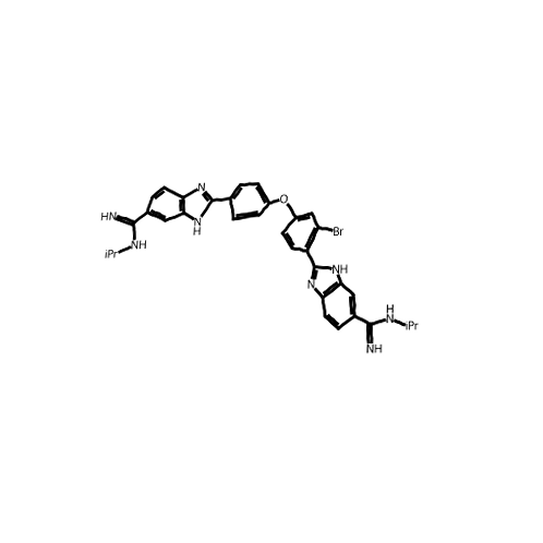 CC(C)NC(=N)c1ccc2nc(-c3ccc(Oc4ccc(-c5nc6ccc(C(=N)NC(C)C)cc6[nH]5)c(Br)c4)cc3)[nH]c2c1